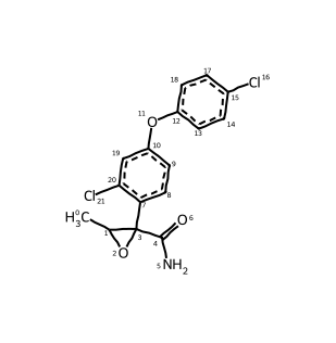 CC1OC1(C(N)=O)c1ccc(Oc2ccc(Cl)cc2)cc1Cl